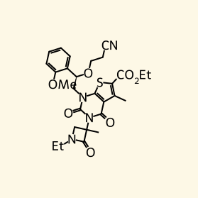 CCOC(=O)c1sc2c(c1C)c(=O)n(C1(C)CN(CC)C1=O)c(=O)n2C[C@H](OCCC#N)c1ccccc1OC